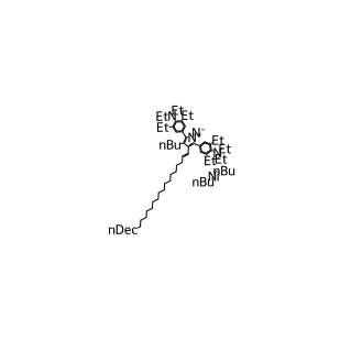 CCCCCCCCCCCCCCCCCCCCCCCCCC=CC1=C(c2cc(CC)c(N(CC)CC)c(CC)c2)[N+](=[N-])C(c2cc(CC)c(N(CC)CC)c(CC)c2)=C1CCCC.CCC[CH2][Ni][CH2]CCC